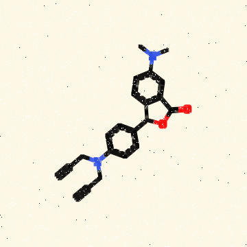 C#CCN(CC#C)c1ccc(C2OC(=O)c3cc(N(C)C)ccc32)cc1